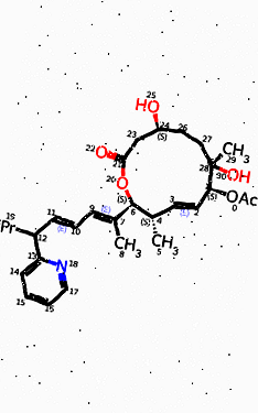 CC(=O)O[C@H]1/C=C/[C@H](C)[C@@H](/C(C)=C/C=C/C(c2ccccn2)C(C)C)OC(=O)C[C@@H](O)CC[C@]1(C)O